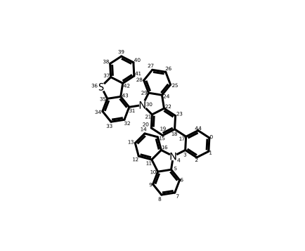 c1ccc(-n2c3ccccc3c3ccccc32)c(-c2ccc3c(c2)c2ccccc2n3-c2cccc3sc4ccccc4c23)c1